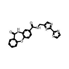 O=C(NCc1cnc(-c2nccs2)s1)c1ccc2c(c1)NC(=O)c1ccccc1O2